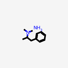 CC(Cc1ccccc1)N(C)C.N